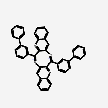 c1ccc(-c2cccc(/C3=N/c4cc5ccccc5nc4/C(c4cccc(-c5ccccc5)c4)=N\c4cc5ccccc5nc43)c2)cc1